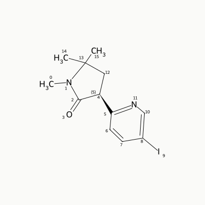 CN1C(=O)[C@H](c2ccc(I)cn2)CC1(C)C